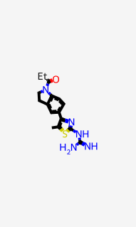 CCC(=O)N1CCc2cc(-c3nc(NC(=N)N)sc3C)ccc21